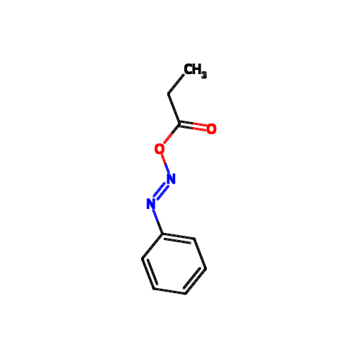 CCC(=O)O/N=N/c1ccccc1